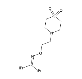 CC(C)C(=NOCCN1CCS(=O)(=O)CC1)C(C)C